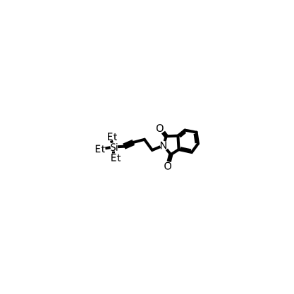 CC[Si](C#CCCN1C(=O)c2ccccc2C1=O)(CC)CC